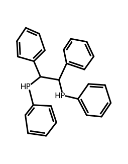 c1ccc(PC(c2ccccc2)C(Pc2ccccc2)c2ccccc2)cc1